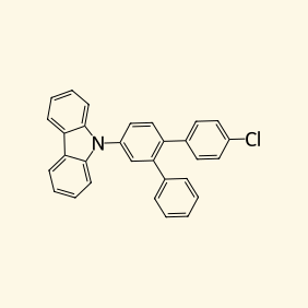 Clc1ccc(-c2ccc(-n3c4ccccc4c4ccccc43)cc2-c2ccccc2)cc1